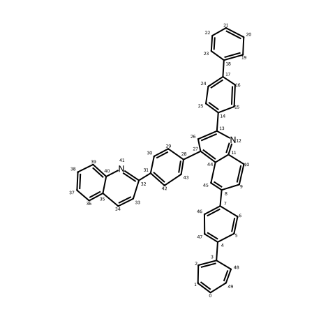 c1ccc(-c2ccc(-c3ccc4nc(-c5ccc(-c6ccccc6)cc5)cc(-c5ccc(-c6ccc7ccccc7n6)cc5)c4c3)cc2)cc1